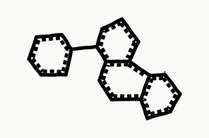 [c]1cccc2ccc3c(-c4ccccc4)cccc3c12